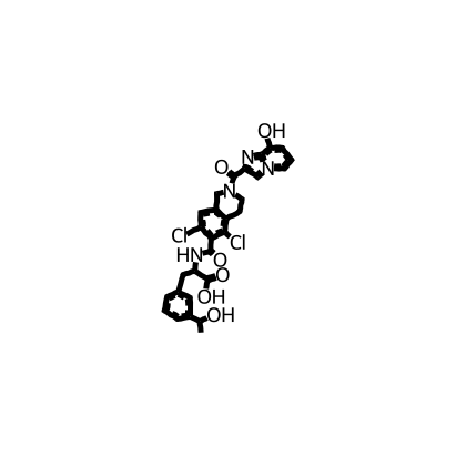 CC(O)c1cccc(CC(NC(=O)c2c(Cl)cc3c(c2Cl)CCN(C(=O)c2cn4cccc(O)c4n2)C3)C(=O)O)c1